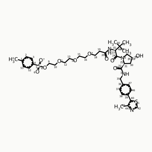 Cc1ccc(S(=O)(=O)OCCOCCOCCOCCC(=O)N[C@H](C(=O)N2C[C@H](O)C[C@H]2C(=O)NCc2ccc(-c3scnc3C)cc2)C(C)(C)C)cc1